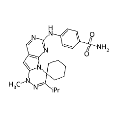 CC(C)C1=NN(C)c2cc3cnc(Nc4ccc(S(N)(=O)=O)cc4)nc3n2C12CCCCC2